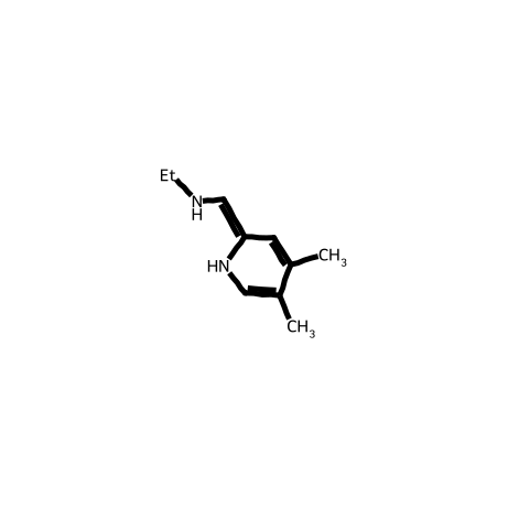 CCN/C=C1/C=C(C)C(C)=CN1